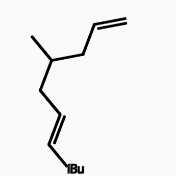 [CH2]CC(C)C=CCC(C)CC=C